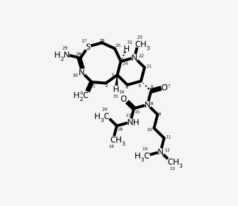 C=C1C[C@H]2C[C@@H](C(=O)N(CCCN(C)C)C(=O)NC(C)C)CN(C)[C@@H]2CCS/C(N)=N\1